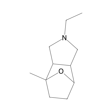 CCN1CC2C3CCC(C)(O3)C2C1